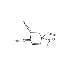 C=CC1([N+](=O)[O-])C=CC(=C=O)C(=C=O)C1